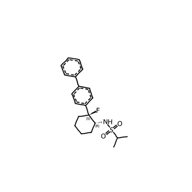 CC(C)S(=O)(=O)N[C@@H]1CCCC[C@]1(F)c1ccc(-c2ccccc2)cc1